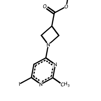 COC(=O)C1CN(c2cc(I)nc(C)n2)C1